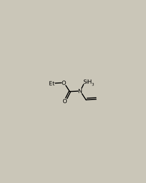 C=CN([SiH3])C(=O)OCC